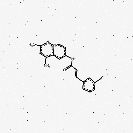 Cc1cc(N)c2cc(NC(=O)/C=C/c3cccc(Cl)c3)ccc2n1